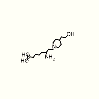 NC(CCCCB(O)O)CCN1CCC(CCO)CC1